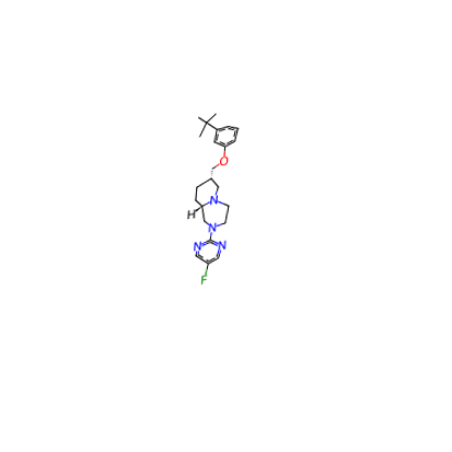 CC(C)(C)c1cccc(OC[C@H]2CC[C@H]3CN(c4ncc(F)cn4)CCN3C2)c1